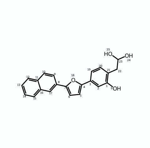 Oc1cc(-c2ccc(-c3ccc4ccccc4c3)o2)ccc1CC(O)O